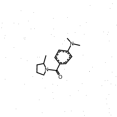 CC1CCCN1C(=O)c1ccc(N(C)C)cc1